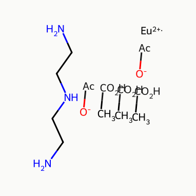 CC(=O)O.CC(=O)O.CC(=O)O.CC(=O)[O-].CC(=O)[O-].NCCNCCN.[Eu+2]